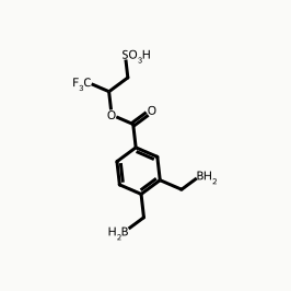 BCc1ccc(C(=O)OC(CS(=O)(=O)O)C(F)(F)F)cc1CB